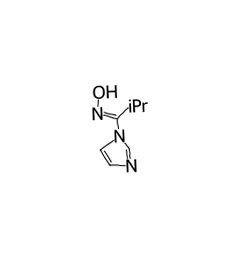 CC(C)C(=NO)n1ccnc1